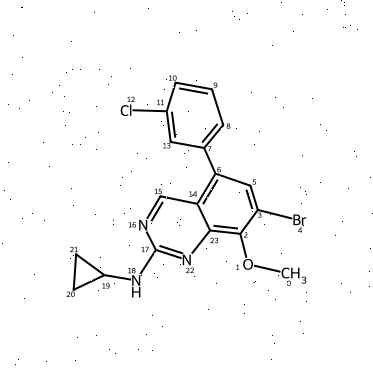 COc1c(Br)cc(-c2cccc(Cl)c2)c2cnc(NC3CC3)nc12